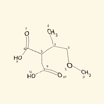 COCC(C)C(C(=O)O)C(=O)O